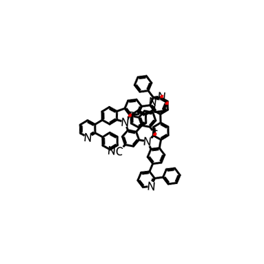 N#Cc1cc(-n2c3cc(-c4cccnc4-c4ccccc4)ccc3c3ccc(-c4cccnc4-c4ccccc4)cc32)c(-c2c(F)cccc2F)c(-n2c3cc(-c4cccnc4-c4ccccc4)ccc3c3ccc(-c4cccnc4-c4ccccc4)cc32)c1